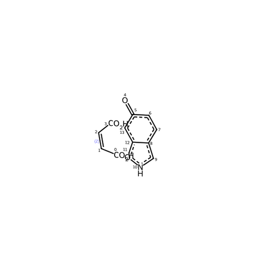 O=C(O)/C=C\C(=O)O.O=c1ccc2c[nH]oc-2c1